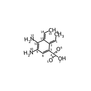 C/C=c1/c(S(=O)(=O)O)cc(N)c(N)/c1=C/C